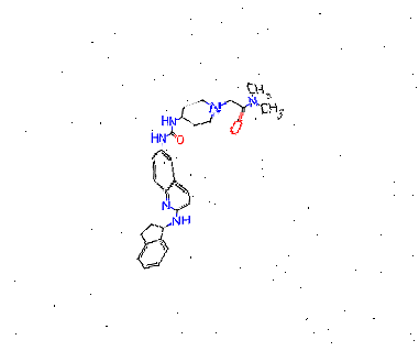 CN(C)C(=O)CN1CCC(NC(=O)Nc2ccc3nc(N[C@@H]4CCc5ccccc54)ccc3c2)CC1